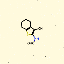 N#Cc1c(NC=O)sc2c1CCCC2